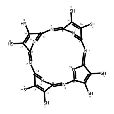 SC1=C(S)/C2=N/C3=NC(=N\C4=NC(=N\C5=NC(=N\C1=N2)/C(S)=C5S)/C(S)=C4S)/C(S)=C3S